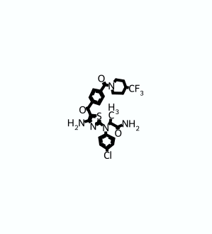 CC(C(N)=O)N(c1ccc(Cl)cc1)c1nc(N)c(C(=O)c2ccc(C(=O)N3CCC(C(F)(F)F)CC3)cc2)s1